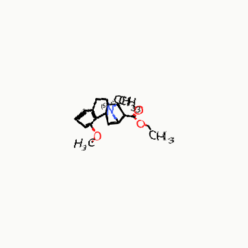 CCOC(=O)C1C[C@@]2(C)C3CC1N(C)C2Cc1cccc(OC)c13